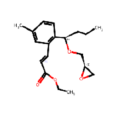 CCC[C@@H](OC[C@H]1CO1)c1ccc(C)cc1/C=C/C(=O)OCC